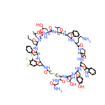 CCCC[C@H]1C(=O)N(C[C@@H](C)O)CC(=O)N[C@@H](CC(=O)O)C(=O)N[C@@H](C(C)C)C(=O)N(C)[C@@H](Cc2ccccc2)C(=O)N[C@@H](CCCN)C(=O)N2CCC[C@@H]2C(=O)N[C@@H](Cc2c[nH]c3ccccc23)C(=O)N[C@@H](Cc2ccc(O)cc2)C(=O)N[C@@H](CCO)C(=O)N[C@H](C(=O)NCC(N)=O)CSCC(=O)N[C@@H](Cc2cc(F)c(F)c(F)c2)C(=O)N(C)[C@@H](Cc2ccccc2)C(=O)N1C